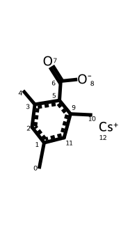 Cc1cc(C)c(C(=O)[O-])c(C)c1.[Cs+]